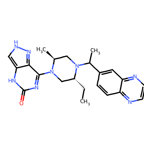 CC[C@@H]1CN(c2nc(=O)[nH]c3c[nH]nc23)[C@@H](C)CN1C(C)c1ccc2nccnc2c1